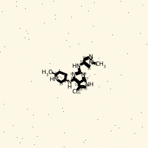 C[C@H]1CC[C@@H](Nc2nc(Nc3cnn(C)c3)nc3[nH]cc(Cl)c23)CN1